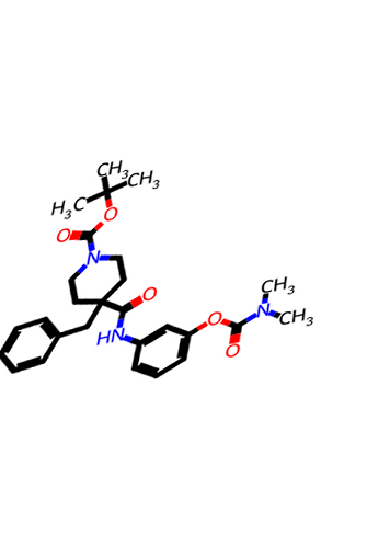 CN(C)C(=O)Oc1cccc(NC(=O)C2(Cc3ccccc3)CCN(C(=O)OC(C)(C)C)CC2)c1